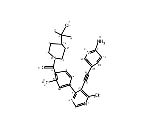 CCc1ncnc(-c2ccc(C(=O)N3CCC(C(C)(C)O)CC3)c(C(F)(F)F)c2)c1C#Cc1ccc(N)nc1